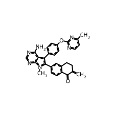 C=C1CCc2cc(-c3c(-c4ccc(Oc5nccc(C)n5)cc4)c4c(N)ncnc4n3C)ccc2C1=O